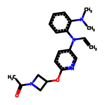 C=CN(c1ccc(OC2CN(C(C)=O)C2)nc1)c1ccccc1N(C)C